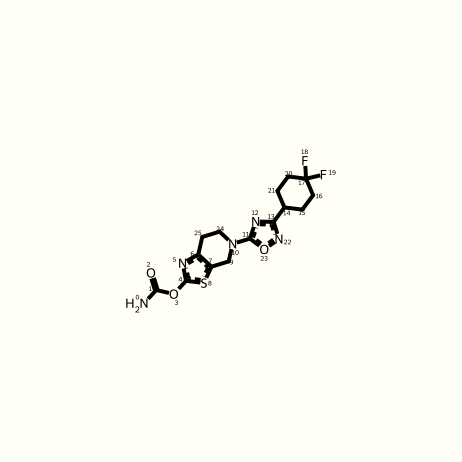 NC(=O)Oc1nc2c(s1)CN(c1nc(C3CCC(F)(F)CC3)no1)CC2